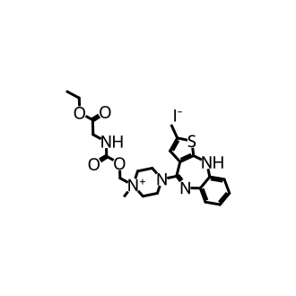 CCOC(=O)CNC(=O)OC[N+]1(C)CCN(C2=Nc3ccccc3Nc3sc(C)cc32)CC1.[I-]